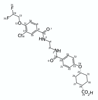 O=C(NCCNC(=O)c1ccc(OCC(F)F)c(Cl)c1)c1ccc(O[C@H]2CC[C@@H](C(=O)O)CC2)cc1